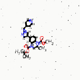 COC(=O)N1c2ccc(-c3cnn(Cc4ccncc4)c3)cc2N(C(=O)OC(C)C)C[C@@H]1C